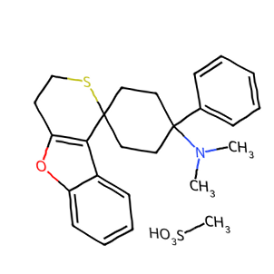 CN(C)C1(c2ccccc2)CCC2(CC1)SCCc1oc3ccccc3c12.CS(=O)(=O)O